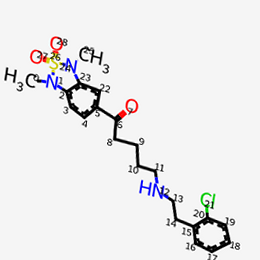 CN1c2ccc(C(=O)CCCCNCCc3ccccc3Cl)cc2N(C)S1(=O)=O